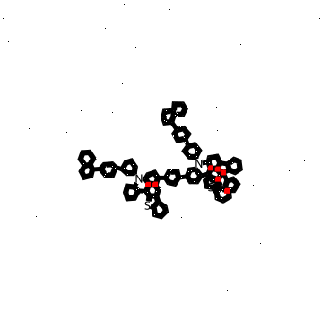 c1ccc(C2(c3ccccc3)c3ccccc3-c3ccc(N(c4ccc(-c5ccc(-c6cccc7ccccc67)cc5)cc4)c4cc(-c5ccc(-c6ccc(N(c7cccc(-c8ccc(-c9cccc%10ccccc9%10)cc8)c7)c7ccccc7-c7cccc8c7sc7ccccc78)cc6)cc5)ccc4-c4cccc5c4sc4ccccc45)cc32)cc1